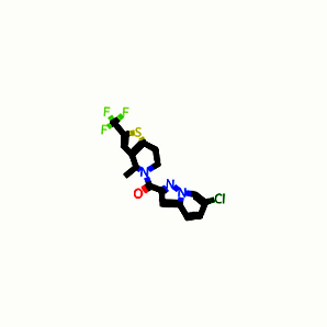 CC1c2cc(C(F)(F)F)sc2CCN1C(=O)c1cc2ccc(Cl)cn2n1